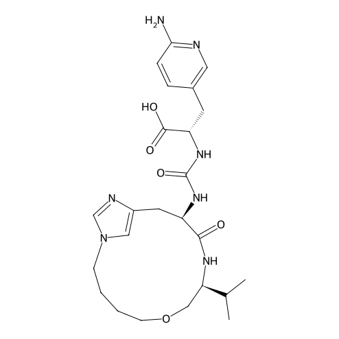 CC(C)[C@H]1COCCCCn2cnc(c2)C[C@@H](NC(=O)N[C@@H](Cc2ccc(N)nc2)C(=O)O)C(=O)N1